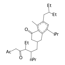 CCCC(CC1CC(=O)c2c(C)c(CC(CC)CC)cc(C(C)C)c2C1)C(CC)C(=O)CC(C)=O